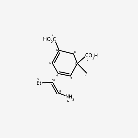 CC1(C(=O)O)C=CC=C(C(=O)O)C1.CCC=CN